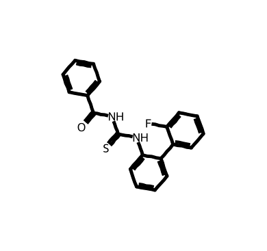 O=C(NC(=S)Nc1ccccc1-c1ccccc1F)c1ccccc1